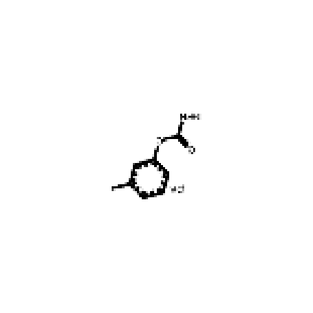 CNC(=O)Oc1cccc(C)c1.Cl